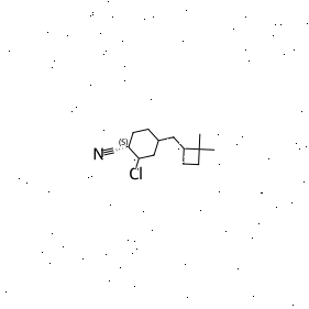 CC1(C)CCC1CC1CC[C@@H](C#N)C(Cl)C1